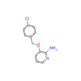 Nc1ncccc1OCc1ccc(Cl)cc1